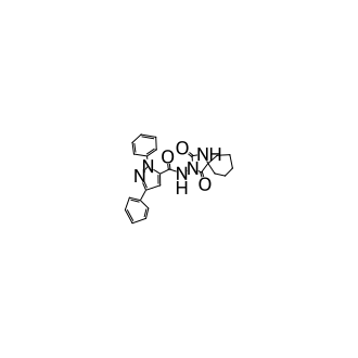 O=C(NN1C(=O)NC2(CCCCC2)C1=O)c1cc(-c2ccccc2)nn1-c1ccccc1